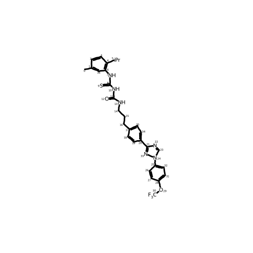 Cc1ccc(C(C)C)c(NC(=S)NC(=O)NCCCc2ccc(-c3ncn(-c4ccc(OC(F)(F)F)cc4)n3)cc2)c1